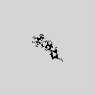 C=C(P(=O)(O)O)P(=O)(O)OC[C@H]1O[C@@H](n2ccc(N)nc2=O)C(F)(F)[C@@H]1O